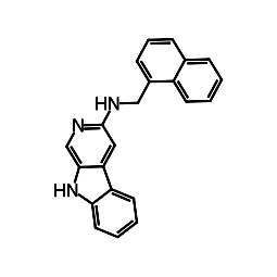 c1ccc2c(CNc3cc4c(cn3)[nH]c3ccccc34)cccc2c1